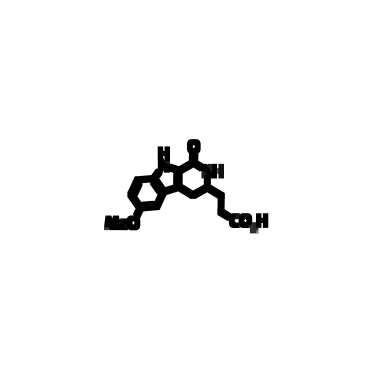 COc1ccc2[nH]c3c(c2c1)CC(CCC(=O)O)NC3=O